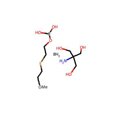 B.COCCSCCOB(O)O.NC(CO)(CO)CO